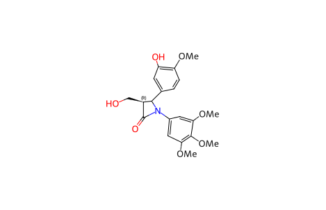 COc1ccc(C2[C@H](CO)C(=O)N2c2cc(OC)c(OC)c(OC)c2)cc1O